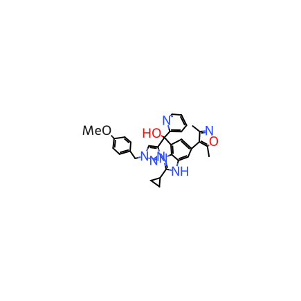 COc1ccc(Cn2cc(C(O)(c3ccccn3)c3cc(-c4c(C)noc4C)cc4[nH]c(C5CC5)nc34)nn2)cc1